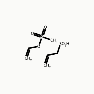 C=CCS(=O)(=O)O.C=COS(C)(=O)=O